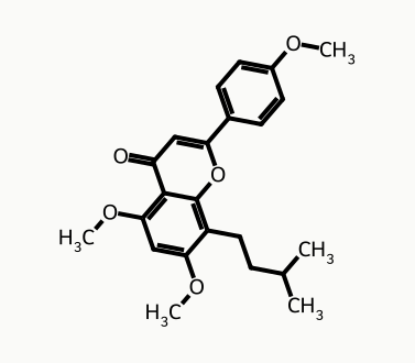 COc1ccc(-c2cc(=O)c3c(OC)cc(OC)c(CCC(C)C)c3o2)cc1